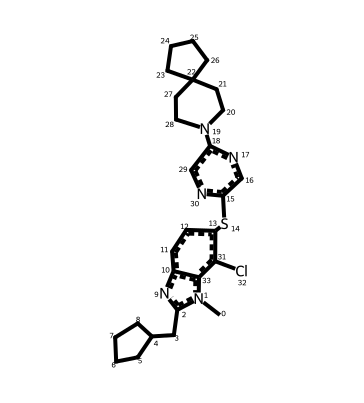 Cn1c(CC2CCCC2)nc2ccc(Sc3cnc(N4CCC5(CCCC5)CC4)cn3)c(Cl)c21